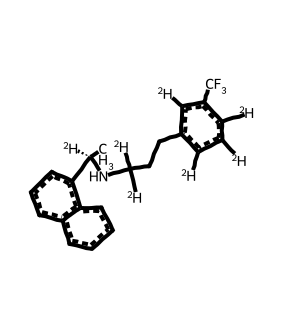 [2H]c1c([2H])c(CCC([2H])([2H])N[C@]([2H])(C)c2cccc3ccccc23)c([2H])c(C(F)(F)F)c1[2H]